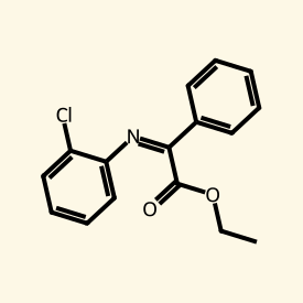 CCOC(=O)C(=Nc1ccccc1Cl)c1ccccc1